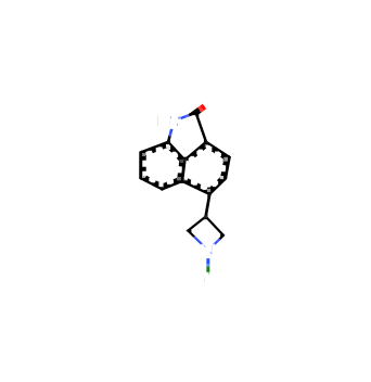 O=C1Nc2cccc3c(C4CN(Cl)C4)ccc1c23